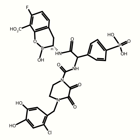 O=C(O)c1c(F)ccc2c1OB(O)[C@@H](NC(=O)C(NC(=O)N1CCN(Cc3cc(O)c(O)cc3Cl)C(=O)C1=O)c1ccc(P(=O)(O)O)cc1)C2